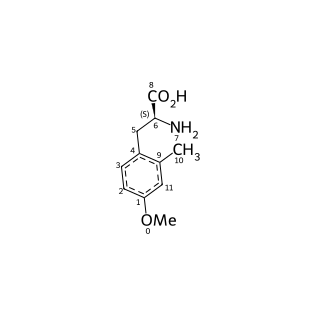 COc1ccc(C[C@H](N)C(=O)O)c(C)c1